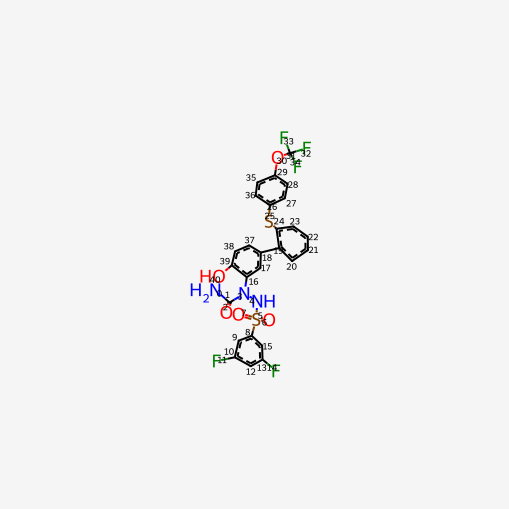 NC(=O)N(NS(=O)(=O)c1cc(F)cc(F)c1)c1cc(-c2ccccc2Sc2ccc(OC(F)(F)F)cc2)ccc1O